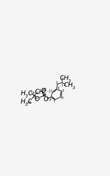 CC(C)Cc1c[c]cc(OC(=O)OC(C)(C)C)c1